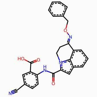 N#Cc1ccc(NC(=O)c2cc3cccc4c3n2CC/C4=N\OCc2ccccc2)c(C(=O)O)c1